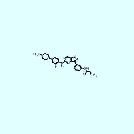 C=CC(=O)Nc1cccc(-c2noc3cnc(Nc4ccc(N5CCN(C)CC5)cc4F)nc23)c1